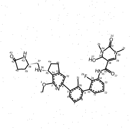 COc1nc(-c2cccc(-c3cccc(NC(=O)C4=CN(C)C(=O)N(C)C4O)c3F)c2C)cc2c1[C@H](NC[C@@H]1CCC(=O)N1)CC2